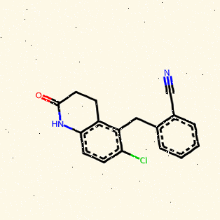 N#Cc1ccccc1Cc1c(Cl)ccc2c1CCC(=O)N2